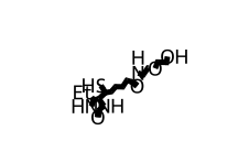 CCC1NC(=O)NC1C(S)CCCCC(=O)NCCOCCO